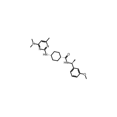 COc1cccc([C@H](C)NC(=O)[C@H]2CC[C@@H](Nc3nc(C)cc(N(C)C)n3)CC2)c1